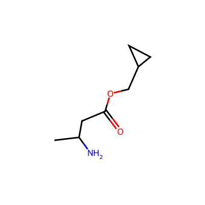 CC(N)CC(=O)OCC1CC1